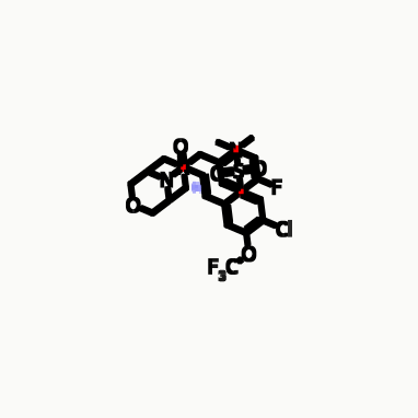 CN(C)S(=O)(=O)c1cc(Cl)c(OC(F)(F)F)cc1/C=C/C(=O)N1C2COCC1CN(Cc1ccc(F)cc1)C2